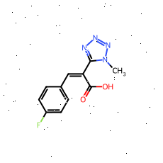 Cn1nnnc1C(=Cc1ccc(F)cc1)C(=O)O